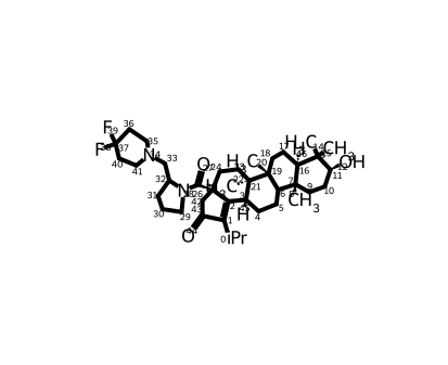 CC(C)C1=C2[C@H]3CCC4[C@@]5(C)CC[C@H](O)C(C)(C)[C@@H]5CC[C@@]4(C)[C@]3(C)CC[C@@]2(C(=O)N2CCCC2CN2CCC(F)(F)CC2)CC1=O